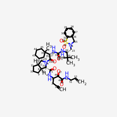 C#CCC(NC(=O)[C@@H]1[C@H]2CCC[C@H]2CN1C(=O)[C@@H](NC(=O)N[C@H](CN1Cc2ccccc2S1(=O)=O)C(C)(C)C(C)C)C1(C)CCCCC1)C(=O)C(=O)NCC=C